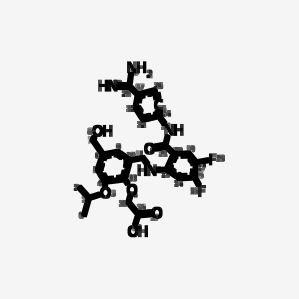 CC(C)Oc1cc(CO)cc(CNc2cc(F)c(F)cc2C(=O)Nc2ccc(C(=N)N)cc2)c1OCC(=O)O